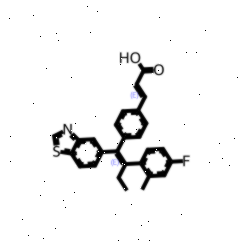 CC/C(=C(/c1ccc(/C=C/C(=O)O)cc1)c1ccc2scnc2c1)c1ccc(F)cc1C